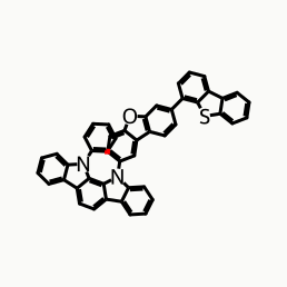 c1ccc(-n2c3ccccc3c3ccc4c5ccccc5n(-c5ccc6oc7cc(-c8cccc9c8sc8ccccc89)ccc7c6c5)c4c32)cc1